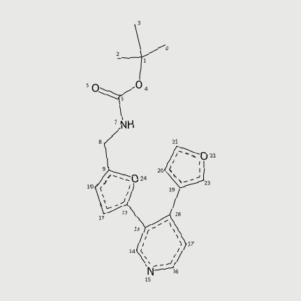 CC(C)(C)OC(=O)NCc1ccc(-c2cnccc2-c2ccoc2)o1